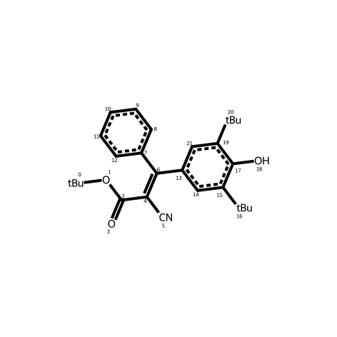 CC(C)(C)OC(=O)C(C#N)=C(c1ccccc1)c1cc(C(C)(C)C)c(O)c(C(C)(C)C)c1